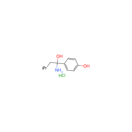 CC(C)CC(N)(O)c1ccc(O)cc1.Cl